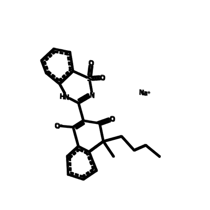 CCCCC1(C)C(=O)C(C2=NS(=O)(=O)c3ccccc3N2)=C([O-])c2ccccc21.[Na+]